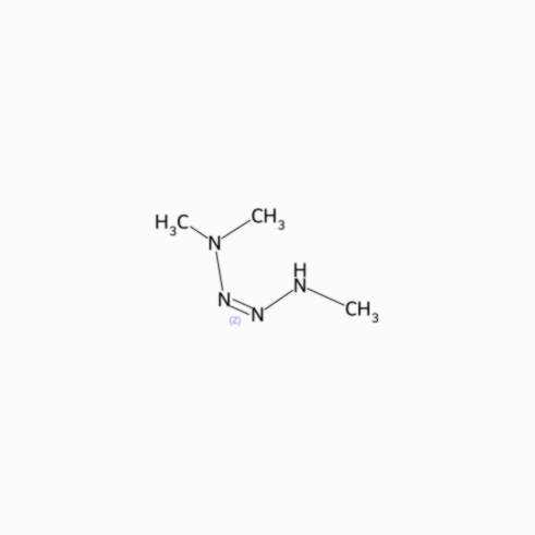 CN/N=N\N(C)C